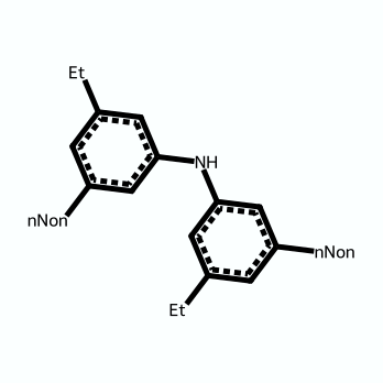 CCCCCCCCCc1cc(CC)cc(Nc2cc(CC)cc(CCCCCCCCC)c2)c1